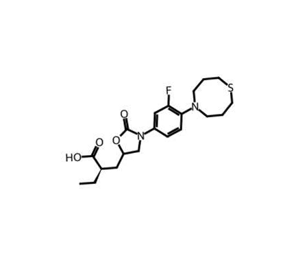 CC[C@H](CC1CN(c2ccc(N3CCCSCCC3)c(F)c2)C(=O)O1)C(=O)O